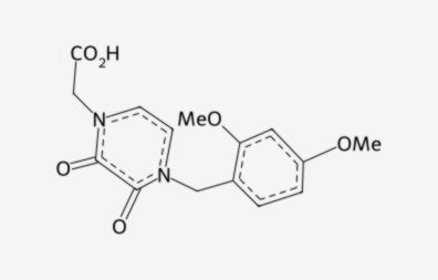 COc1ccc(Cn2ccn(CC(=O)O)c(=O)c2=O)c(OC)c1